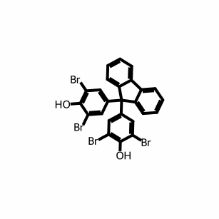 Oc1c(Br)cc(C2(c3cc(Br)c(O)c(Br)c3)c3ccccc3-c3ccccc32)cc1Br